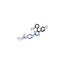 NC(=O)CN1CCN(c2cnc(-c3ccc(Cl)cc3)c(-c3ccccc3Cl)n2)CC1